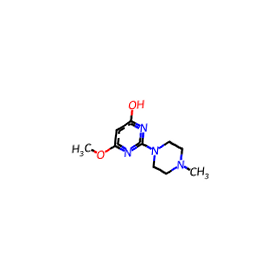 COc1cc(O)nc(N2CCN(C)CC2)n1